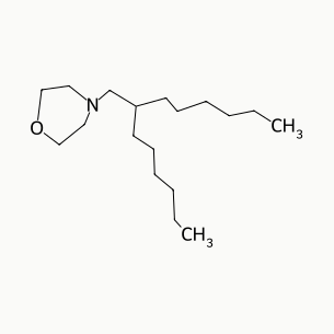 CCCCCCC(CCCCCC)CN1CCOCC1